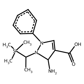 CC(N1C(N)C(C(=O)O)=CN1c1ccccc1)[Si](C)(C)C